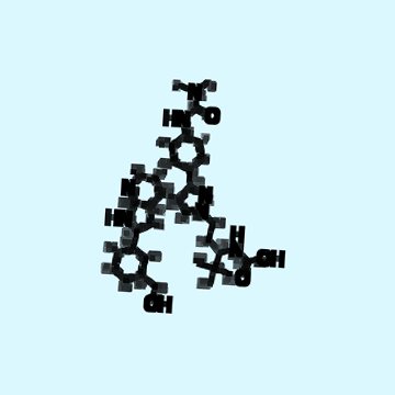 CN(C)C(=O)Nc1ccc(-c2nn(CCC(NC(=O)O)C(C)(C)C)cc2-c2ccnc3[nH]c(-c4cccc(CO)c4)cc23)cc1